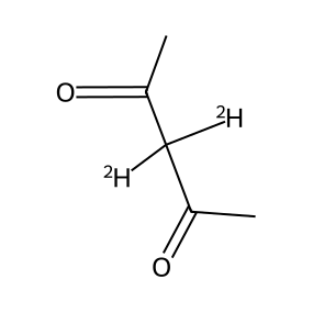 [2H]C([2H])(C(C)=O)C(C)=O